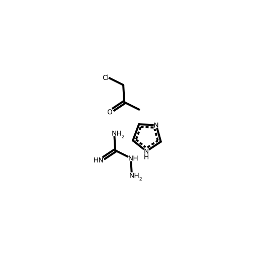 CC(=O)CCl.N=C(N)NN.c1c[nH]cn1